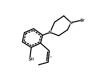 C/C=C\c1c(S)cccc1N1CCN(Br)CC1